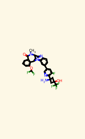 CN1C(=O)c2cccc(OC(F)F)c2C2CC1c1nc3ccc(-c4cnc(C5(N)CC(O)(C(F)(F)F)C5)c(F)c4)cc3n12